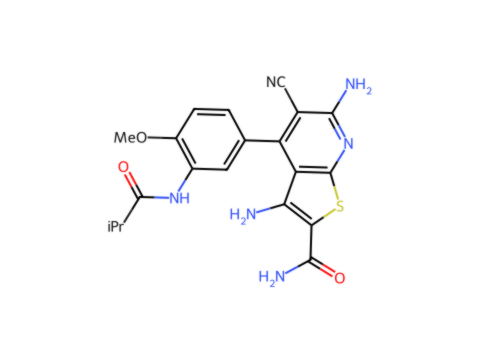 COc1ccc(-c2c(C#N)c(N)nc3sc(C(N)=O)c(N)c23)cc1NC(=O)C(C)C